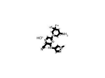 Cl.Cn1cc(Nc2nc(N3CC(N)CC(F)(F)C3)cnc2C#N)cn1